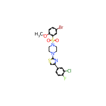 COc1ccc(Br)cc1S(=O)(=O)N1CCN(c2nc(-c3ccc(F)c(Cl)c3)cs2)CC1